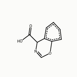 O=C(O)C1N=COc2ccccc21